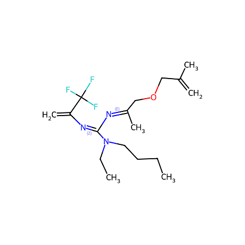 C=C(C)COC/C(C)=N/C(=N\C(=C)C(F)(F)F)N(CC)CCCC